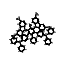 CC(C)(C)c1ccc2c(c1)c1cc(C(C)(C)C)ccc1n2-c1c(C#N)c(-n2c3ccc(C(C)(C)C)cc3c3cc(C(C)(C)C)ccc32)c(-c2ccc(N(c3ccccc3)c3ccccc3)cc2)c(-c2ccccc2)c1-c1ccc(N(c2ccccc2)c2ccccc2)cc1